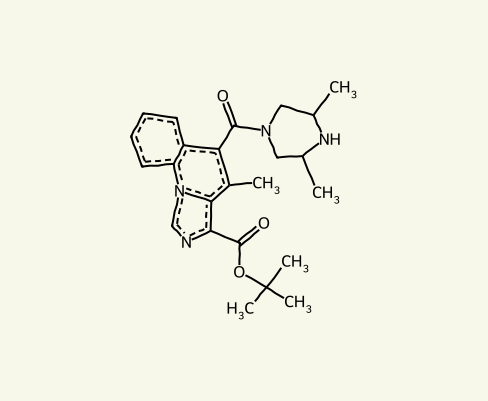 Cc1c(C(=O)N2CC(C)NC(C)C2)c2ccccc2n2cnc(C(=O)OC(C)(C)C)c12